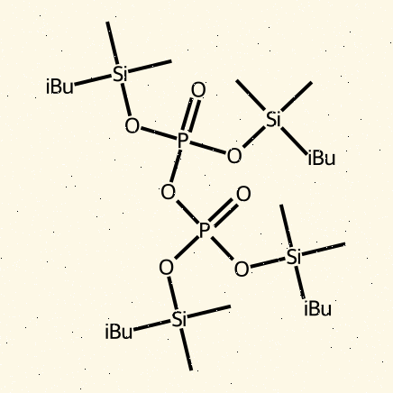 CCC(C)[Si](C)(C)OP(=O)(O[Si](C)(C)C(C)CC)OP(=O)(O[Si](C)(C)C(C)CC)O[Si](C)(C)C(C)CC